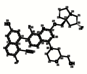 C#Cc1c(F)ccc2cc(O)cc(-c3ccc4c(N5CCOC(CO)C5)nc(OC[C@@]56CCCN5C[C@H](F)C6)nc4c3F)c12